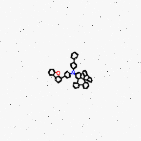 c1ccc(-c2ccc(N(c3ccc(-c4cccc5c4oc4ccccc45)cc3)c3ccc4c(c3)-c3ccccc3-c3ccccc3C43c4ccccc4-c4ccccc43)cc2)cc1